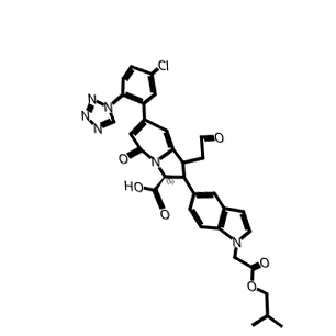 CC(C)COC(=O)Cn1ccc2cc(C3C(CC=O)c4cc(-c5cc(Cl)ccc5-n5cnnn5)cc(=O)n4[C@@H]3C(=O)O)ccc21